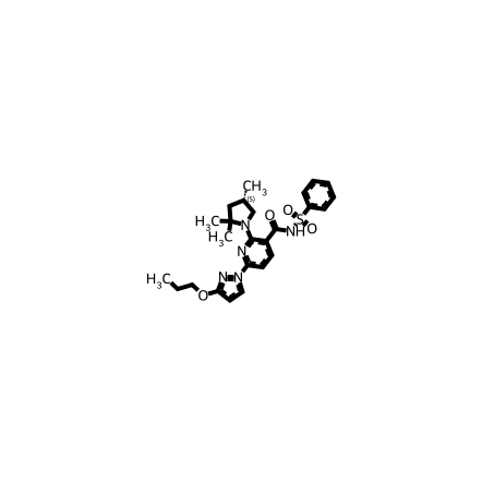 CCCOc1ccn(-c2ccc(C(=O)NS(=O)(=O)c3ccccc3)c(N3C[C@@H](C)CC3(C)C)n2)n1